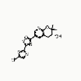 CC1(C)Oc2ncc(-c3nc(-c4ncc(Cl)s4)no3)cc2C[C@H]1O